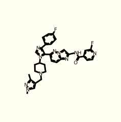 Cc1nn(C)cc1CN1CCC(n2cnc(-c3ccc(F)cc3)c2-c2ccc3nc(NC(=O)c4ccnc(F)c4)cn3n2)CC1